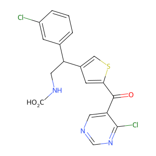 O=C(O)NCC(c1cccc(Cl)c1)c1csc(C(=O)c2cncnc2Cl)c1